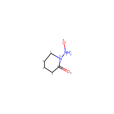 O=C1CCCCN1[NH2+][O-]